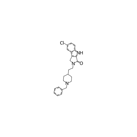 O=C1c2[nH]c3ccc(Cl)cc3c2CN1CCC1CCN(Cc2ccccc2)CC1